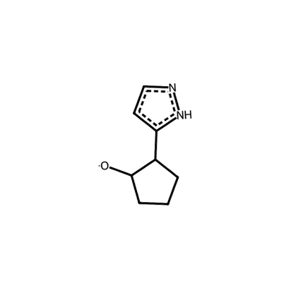 [O]C1CCCC1c1ccn[nH]1